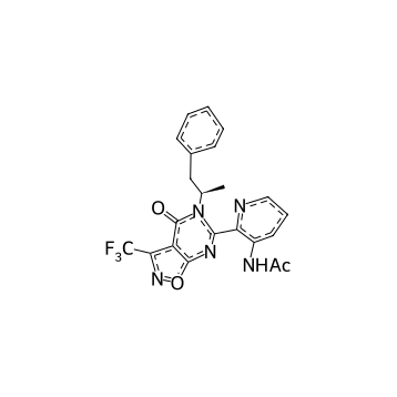 CC(=O)Nc1cccnc1-c1nc2onc(C(F)(F)F)c2c(=O)n1[C@H](C)Cc1ccccc1